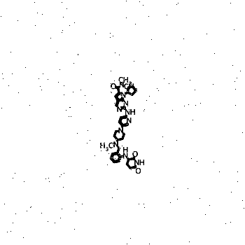 CN(C)C(=O)c1cc2cnc(Nc3ccc(N4CCC(N(C)Cc5ccccc5NC5CCC(=O)NC5=O)CC4)cn3)nc2n1C1CCCC1